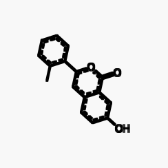 Cc1ccccc1-c1cc2ccc(O)cc2c(=O)o1